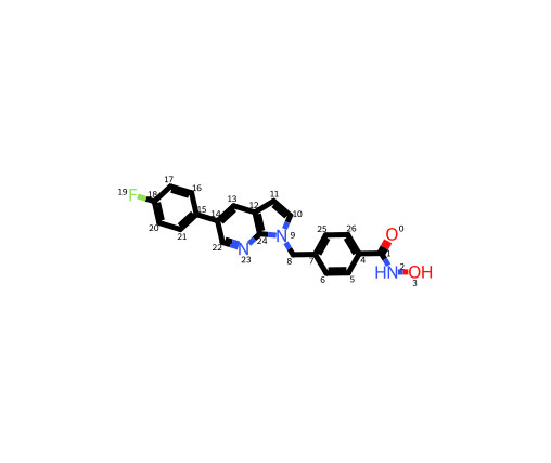 O=C(NO)c1ccc(Cn2ccc3cc(-c4ccc(F)cc4)cnc32)cc1